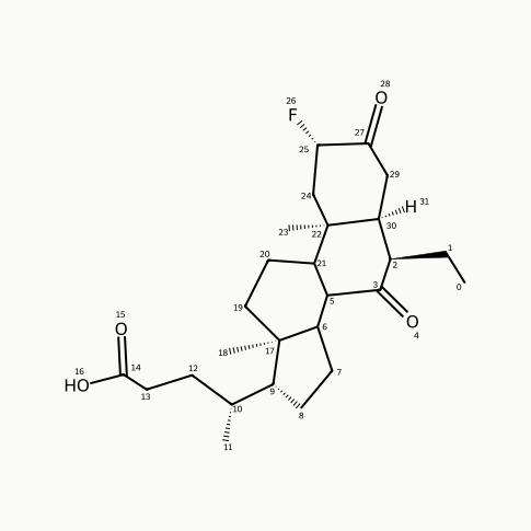 CC[C@H]1C(=O)C2C3CC[C@H]([C@H](C)CCC(=O)O)[C@@]3(C)CCC2[C@@]2(C)C[C@H](F)C(=O)C[C@@H]12